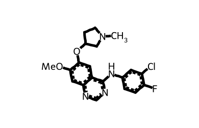 COc1cc2ncnc(Nc3ccc(F)c(Cl)c3)c2cc1OC1CCN(C)C1